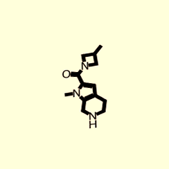 CC1CN(C(=O)c2cc3c(n2C)CNCC3)C1